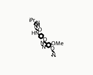 COc1cc2c(Oc3ccc(NC(=O)Cn4cc(C(C)C)nn4)cc3)ncnc2cc1OCCN(C)C